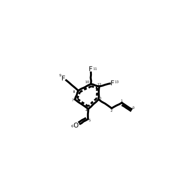 C=CCc1c(C=O)cc(F)c(F)c1F